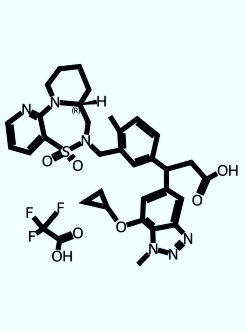 Cc1ccc(C(CC(=O)O)c2cc(OC3CC3)c3c(c2)nnn3C)cc1CN1C[C@H]2CCCCN2c2ncccc2S1(=O)=O.O=C(O)C(F)(F)F